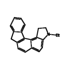 CCN1CCc2c1ccc1ccc3c(c21)-c1ccccc1C3